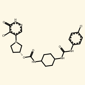 O=C(Nc1ccc(Cl)cc1)NC1CCC(NC(=O)O[C@@H]2CCN(c3cn[nH]c(=O)c3Cl)C2)CC1